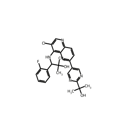 CC(C)(O)c1ncc(-c2ccc3ncc(Cl)c(NC(c4ccccc4F)C(C)(C)O)c3c2)cn1